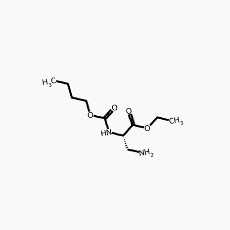 CCCCOC(=O)N[C@@H](CN)C(=O)OCC